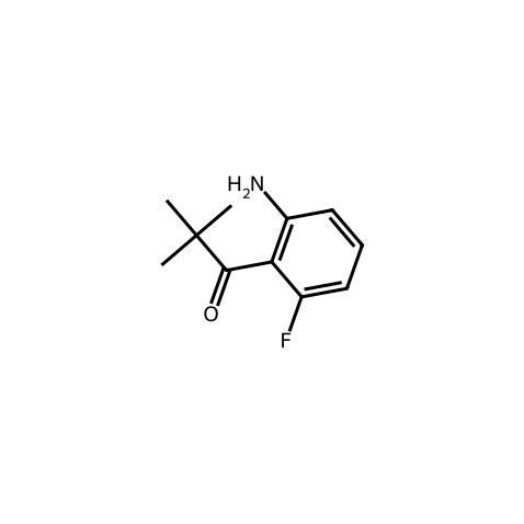 CC(C)(C)C(=O)c1c(N)cccc1F